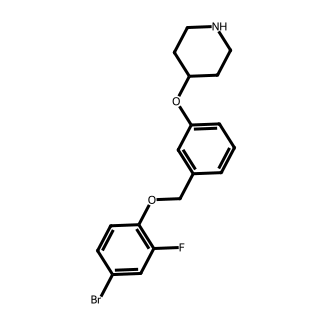 Fc1cc(Br)ccc1OCc1cccc(OC2CCNCC2)c1